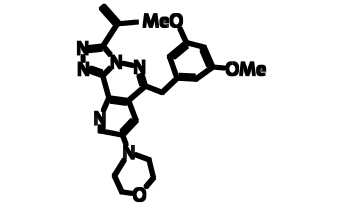 C=C(C)c1nnc2c3ncc(N4CCOCC4)cc3c(Cc3cc(OC)cc(OC)c3)nn12